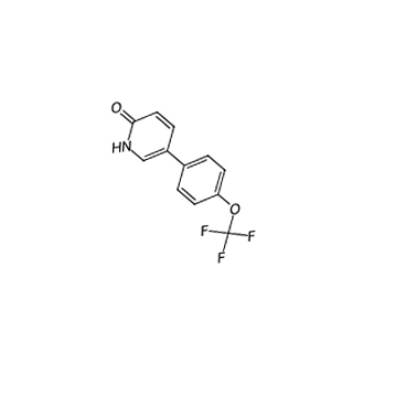 O=c1ccc(-c2ccc(OC(F)(F)F)cc2)c[nH]1